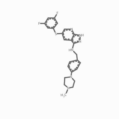 CN1CCN(c2ccc(CNc3n[nH]c4ncc(Sc5cc(F)cc(F)c5)cc34)cc2)CC1